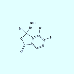 O=C1OC(Br)(Br)c2c1ccc(Br)c2Br.[NaH]